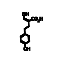 O=C(O)C(=CO)CCc1ccc(O)cc1